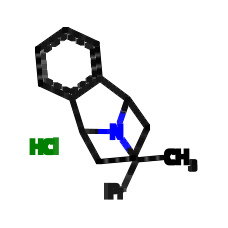 CC(C)C(C)N1C2CCCC1c1ccccc12.Cl